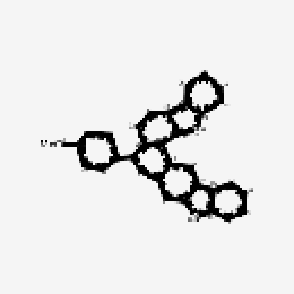 COc1ccc(-c2cc3cc4sc5ccccc5c4cc3c3c2ccc2c4ccccc4sc23)cc1